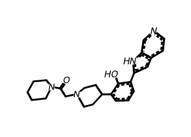 O=C(CN1CCC(c2cccc(-c3cc4ccncc4[nH]3)c2O)CC1)N1CCCCC1